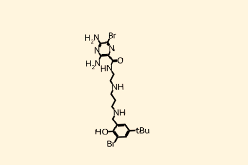 CC(C)(C)c1cc(Br)c(O)c(CNCCCNCCNC(=O)c2nc(Br)c(N)nc2N)c1